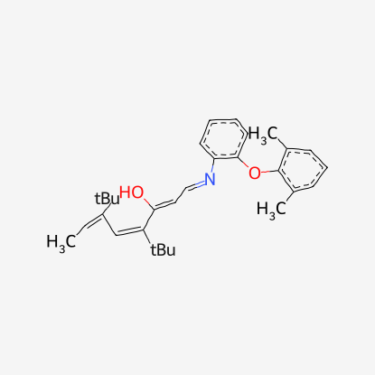 C\C=C(/C=C(\C(O)=C\C=N\c1ccccc1Oc1c(C)cccc1C)C(C)(C)C)C(C)(C)C